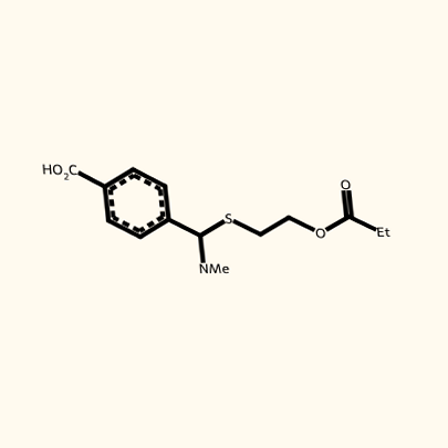 CCC(=O)OCCSC(NC)c1ccc(C(=O)O)cc1